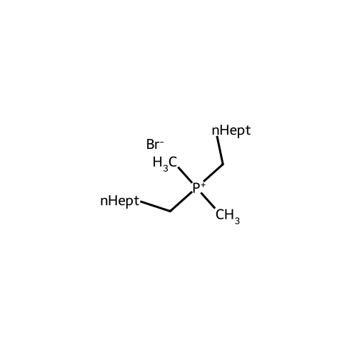 CCCCCCCC[P+](C)(C)CCCCCCCC.[Br-]